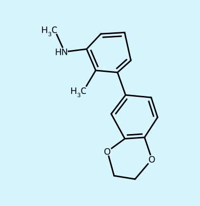 CNc1cccc(-c2ccc3c(c2)OCCO3)c1C